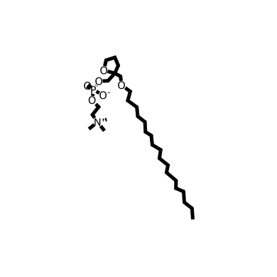 CCCCCCCCCCCCCCCCCCOCC1(COP(=O)([O-])OCC[N+](C)(C)C)CCCO1